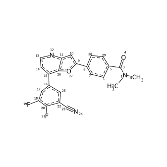 CN(C)C(=O)c1ccc(-c2cc3nccc(-c4cc(F)c(F)c(C#N)c4)c3o2)cc1